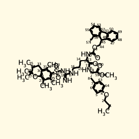 CCCOc1ccc(C[C@H](NC(=O)[C@@H](CCCNC(=N)NS(=O)(=O)c2c(C)c(C)c3c(c2C)C[C@@H](C)C(C)(C)O3)NC(=O)OCC2c3ccccc3-c3cccc(I)c32)C(=O)OC)cc1